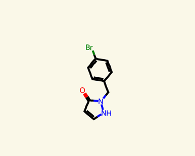 O=c1cc[nH]n1Cc1ccc(Br)cc1